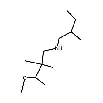 CCC(C)CNCC(C)(C)C(C)OC